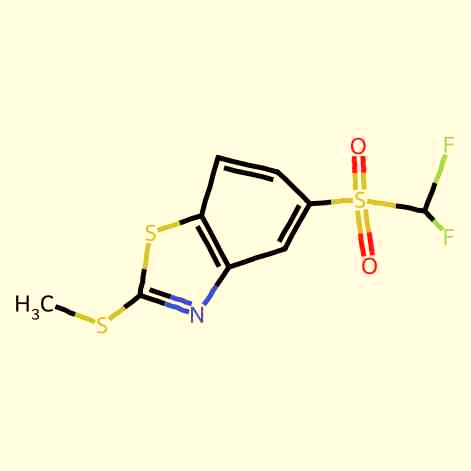 CSc1nc2cc(S(=O)(=O)C(F)F)ccc2s1